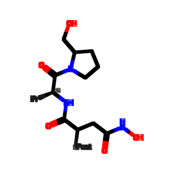 CCCCCC(CC(=O)NO)C(=O)N[C@H](C(=O)N1CCCC1CO)C(C)C